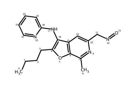 CCCCc1oc2c(C)nc(CN=O)cc2c1Nc1ccccn1